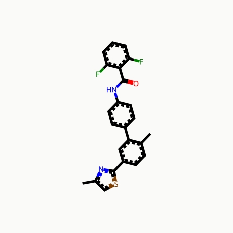 Cc1csc(-c2ccc(C)c(-c3ccc(NC(=O)c4c(F)cccc4F)cc3)c2)n1